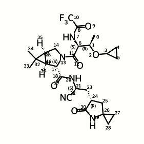 C[C@@H](OC1CC1)[C@H](NC(=O)C(F)(F)F)C(=O)N1C[C@H]2[C@@H]([C@H]1C(=O)N[C@H](C#N)C[C@@H]1CC3(CC3)NC1=O)C2(C)C